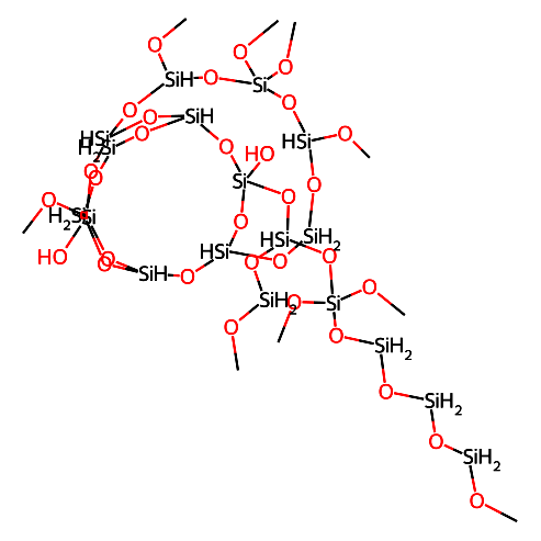 CO[SiH2]O[SiH2]O[SiH2]O[Si](OC)(OC)O[SiH](O[SiH2]OC)O[Si]1(O)O[SiH]2O[SiH2]O[SiH](OC)O[Si](OC)(OC)O[SiH](OC)O[SiH]3O[SiH](O[SiH2]O[SiH2]O[SiH](O2)O[Si](O)(OC)O3)O1